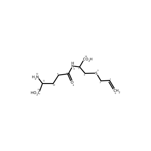 C=CCSCC(NC(=O)CCC(N)C(=O)O)C(=O)O